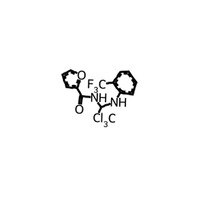 O=C(NC(Nc1ccccc1C(F)(F)F)C(Cl)(Cl)Cl)c1ccco1